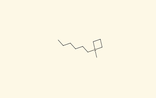 CCCCCC[Si]1(C)CCC1